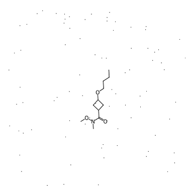 CCCCOC1CC(C(=O)N(C)OC)C1